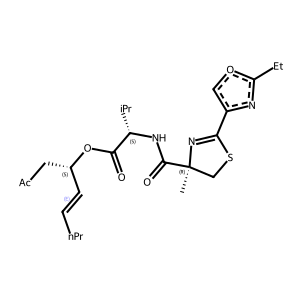 CCC/C=C/[C@H](CC(C)=O)OC(=O)[C@@H](NC(=O)[C@]1(C)CSC(c2coc(CC)n2)=N1)C(C)C